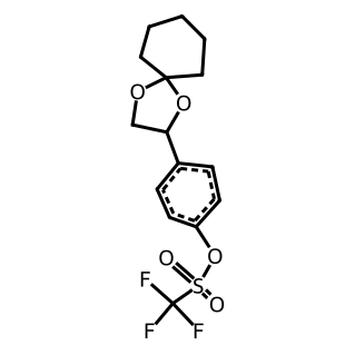 O=S(=O)(Oc1ccc(C2COC3(CCCCC3)O2)cc1)C(F)(F)F